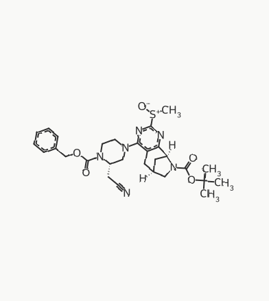 C[S+]([O-])c1nc2c(c(N3CCN(C(=O)OCc4ccccc4)[C@@H](CC#N)C3)n1)C[C@H]1C[C@@H]2N(C(=O)OC(C)(C)C)C1